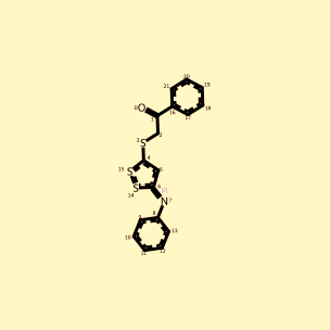 O=C(CSc1c/c(=N/c2ccccc2)ss1)c1ccccc1